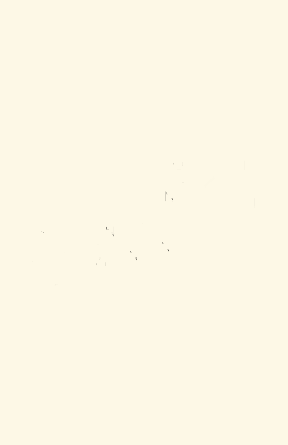 O=C(CC12CC3CC(CC(C3)C1)C2)Nc1ncnc2c1CCN(C(=O)c1ccc(F)c(F)c1)C2